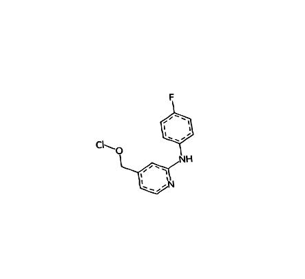 Fc1ccc(Nc2cc(COCl)ccn2)cc1